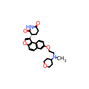 CN(CCOc1ccc2c(ccc3occ([C@H]4CCC(=O)NC4=O)c32)c1)C1CCOCC1